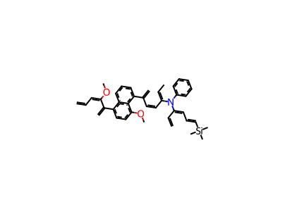 C=C/C=C(/OC)C(=C)c1ccc(OC)c2c(C(=C)/C=C\C(=CC)N(/C(C=C)=C/C=C/[Si](C)(C)C)c3ccccc3)cccc12